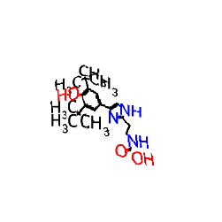 CC(C)(C)c1cc(-c2c[nH]c(CCNC(=O)O)n2)cc(C(C)(C)C)c1O